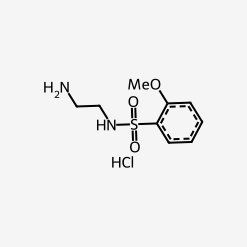 COc1ccccc1S(=O)(=O)NCCN.Cl